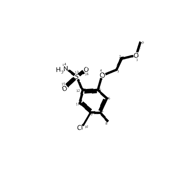 COCCOc1cc(C)c(Cl)cc1S(N)(=O)=O